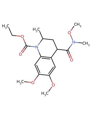 CCOC(=O)N1c2cc(OC)c(OC)cc2C(C(=O)N(C)OC)CC1C